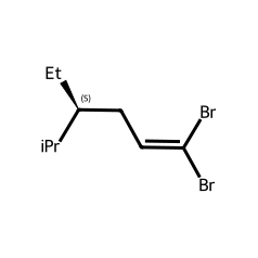 CC[C@@H](CC=C(Br)Br)C(C)C